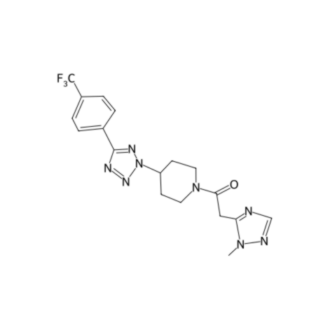 Cn1ncnc1CC(=O)N1CCC(n2nnc(-c3ccc(C(F)(F)F)cc3)n2)CC1